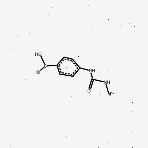 CCCNC(=O)Nc1ccc(B(O)O)cc1